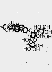 C[C@H]1CC[C@]2(OC1)O[C@H]1C[C@H]3[C@@H]4CCC5C[C@@H](O[C@@H]6O[C@H](CO)[C@@H](O[C@@H]7O[C@@H](C)[C@H](O)[C@@H](O)[C@H]7O)[C@H](O)[C@H]6O[C@@H]6O[C@H](CO)[C@@H](O)[C@H](O)[C@H]6O)CC[C@]5(C)[C@H]4CC[C@]3(C)[C@H]1[C@@H]2C